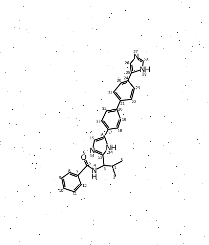 CC(C)C(NC(=O)c1ccccc1)c1ncc(-c2ccc(-c3ccc(-c4cnc[nH]4)cc3)cc2)[nH]1